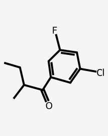 CCC(C)C(=O)c1cc(F)cc(Cl)c1